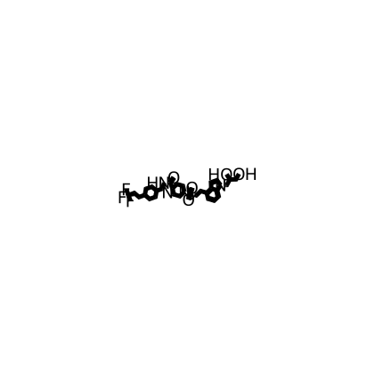 O=C1NC(C2CCC(CCC(F)(F)F)CC2)=NC12CCN(S(=O)(=O)CCc1cccc3c1ccn3CC(O)CO)CC2